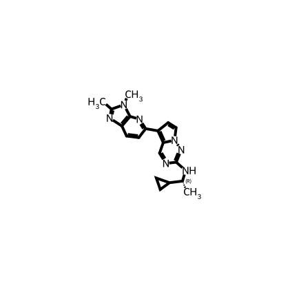 Cc1nc2ccc(-c3ccn4nc(N[C@H](C)C5CC5)ncc34)nc2n1C